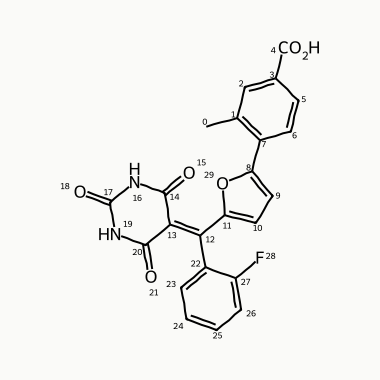 Cc1cc(C(=O)O)ccc1-c1ccc(C(=C2C(=O)NC(=O)NC2=O)c2ccccc2F)o1